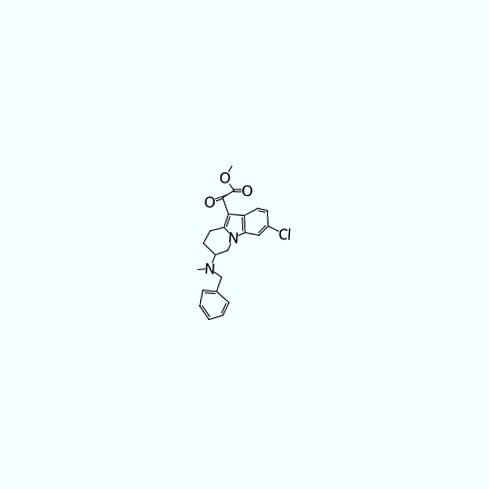 COC(=O)C(=O)c1c2n(c3cc(Cl)ccc13)CC(N(C)Cc1ccccc1)CC2